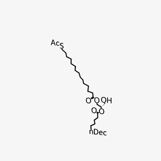 CCCCCCCCCCCCCCC(=O)O[C@@H](CO)COC(=O)CCCCCCCCCCCCCCSC(C)=O